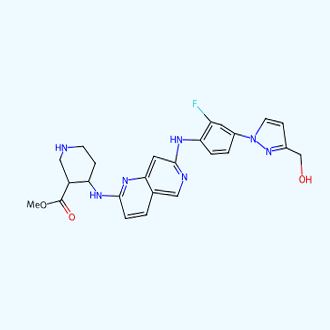 COC(=O)C1CNCCC1Nc1ccc2cnc(Nc3ccc(-n4ccc(CO)n4)cc3F)cc2n1